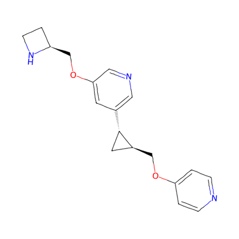 c1cc(OC[C@H]2C[C@@H]2c2cncc(OC[C@@H]3CCN3)c2)ccn1